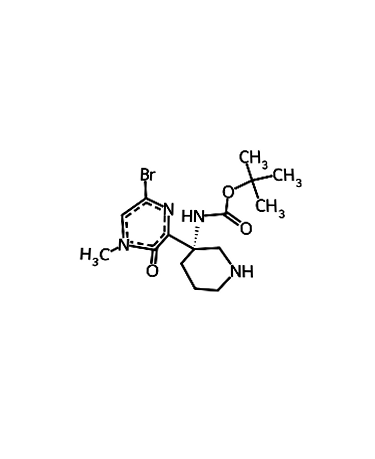 Cn1cc(Br)nc([C@]2(NC(=O)OC(C)(C)C)CCCNC2)c1=O